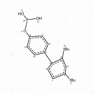 CC(C)(C)c1ccc(-c2ccc(OP(O)O)cc2)c(C(C)(C)C)c1